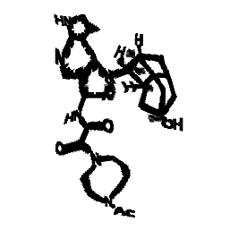 CC(=O)N1CCN(C(=O)C(=O)Nc2nn([C@H]3[C@@H]4CC5C[C@H]3C[C@@](O)(C5)C4)c3c2cnc2[nH]ccc23)CC1